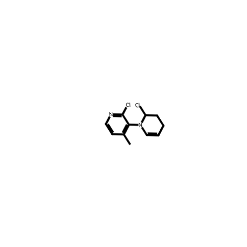 Cc1ccnc(Cl)c1N1C=CCCC1Cl